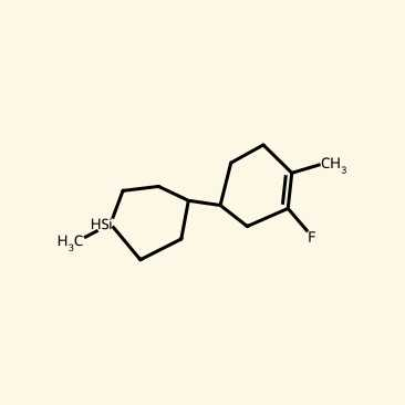 CC1=C(F)CC(C2CC[SiH](C)CC2)CC1